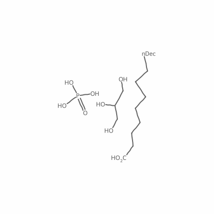 CCCCCCCCCCCCCCCCCC(=O)O.O=P(O)(O)O.OCC(O)CO